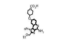 CCCn1c(COCC)nc2c(N)nc3ccc(OC4CCN(C(=O)O)CC4)cc3c21